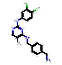 NCc1ccc(CNc2nc(Nc3ccc(Cl)c(Cl)c3)ncc2C(F)(F)F)cc1